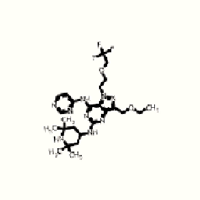 CCOCc1nn(CCOCC(F)(F)F)c2c(Nc3ccncn3)nc(NC3CC(C)(C)NC(C)(C)C3)nc12